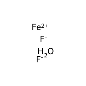 O.[F-].[F-].[Fe+2]